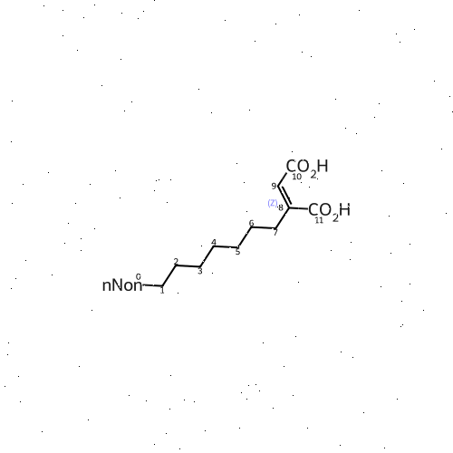 CCCCCCCCCCCCCCCC/C(=C/C(=O)O)C(=O)O